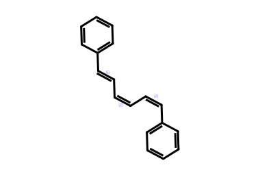 C(/C=C\c1ccccc1)=C/C=C/c1ccccc1